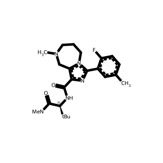 CNC(=O)[C@@H](NC(=O)c1nc(-c2cc(C)ccc2F)n2c1CN(C)CCC2)C(C)(C)C